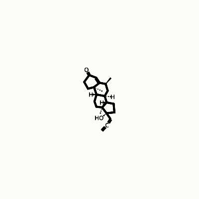 C=C=C[C@]1(O)CC[C@H]2[C@@H]3C[C@H](C)C4=CC(=O)CC[C@]4(C)[C@H]3CC[C@@]21C